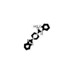 O=C(O)c1ccccc1NC(=O)N1CCN(c2nc3ccccc3s2)CC1